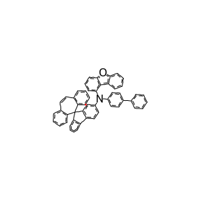 C1=Cc2ccccc2C2(c3ccccc31)c1ccccc1-c1ccc(N(c3ccc(-c4ccccc4)cc3)c3cccc4oc5ccccc5c34)cc12